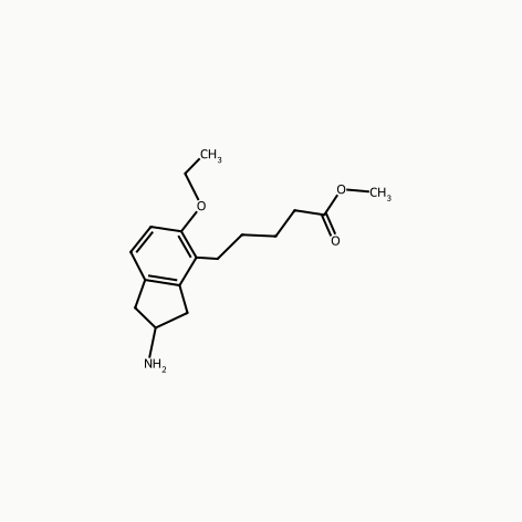 CCOc1ccc2c(c1CCCCC(=O)OC)CC(N)C2